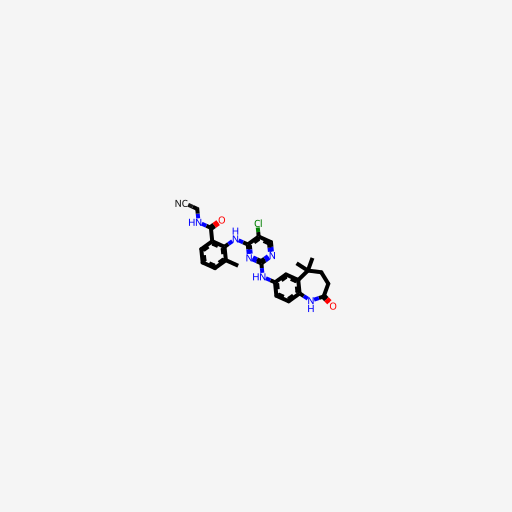 Cc1cccc(C(=O)NCC#N)c1Nc1nc(Nc2ccc3c(c2)C(C)(C)CCC(=O)N3)ncc1Cl